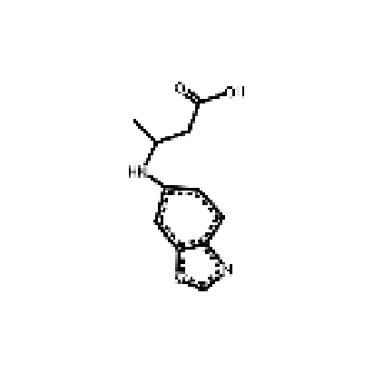 CC(CC(=O)O)Nc1ccc2ncsc2c1